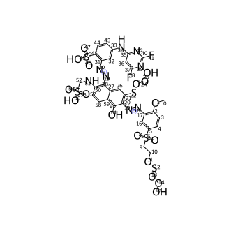 COc1ccc(S(=O)(=O)CCOSOOO)cc1/N=N/c1c(SOOO)cc2c(/N=N/c3cc(Nc4cc(F)nc(F)n4)ccc3S(=O)(=O)O)c(NCS(=O)(=O)O)ccc2c1O